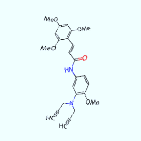 C#CCN(CC#C)c1cc(NC(=O)/C=C/c2c(OC)cc(OC)cc2OC)ccc1OC